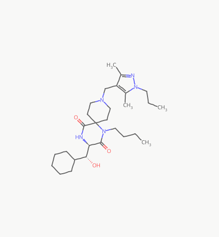 CCCCN1C(=O)[C@@H]([C@H](O)C2CCCCC2)NC(=O)C12CCN(Cc1c(C)nn(CCC)c1C)CC2